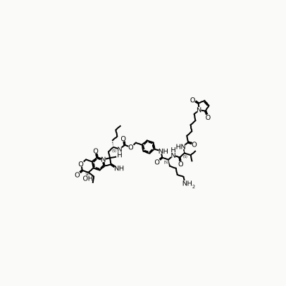 CCCC[C@@H](CC1(C)C(=N)c2cc3c(c(=O)n21)COC(=O)[C@]3(O)CC)NC(=O)OCc1ccc(NC(=O)[C@H](CCCCN)NC(=O)[C@@H](NC(=O)CCCCCN2C(=O)C=CC2=O)C(C)C)cc1